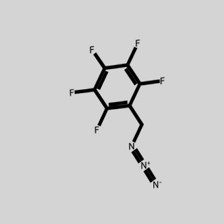 [N-]=[N+]=NCc1c(F)c(F)c(F)c(F)c1F